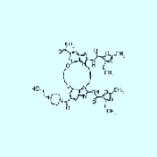 CCc1nc(C)oc1C(=O)Nc1nc2cc(C(N)=O)cc3c2n1C/C=C\Cn1c(NC(=O)c2oc(C)nc2CC)nc2cc(C(=O)N4CCN(CCO)CC4)cc(c21)OCCCO3